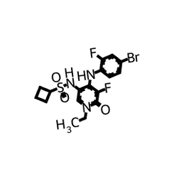 CCn1cc(NS(=O)(=O)C2CCC2)c(Nc2ccc(Br)cc2F)c(F)c1=O